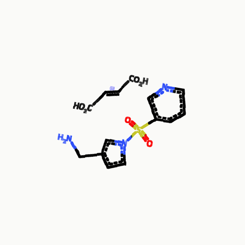 NCc1ccn(S(=O)(=O)c2cccnc2)c1.O=C(O)/C=C/C(=O)O